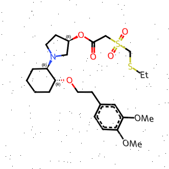 CCSCS(=O)(=O)CC(=O)O[C@@H]1CCN([C@@H]2CCCC[C@H]2OCCc2ccc(OC)c(OC)c2)C1